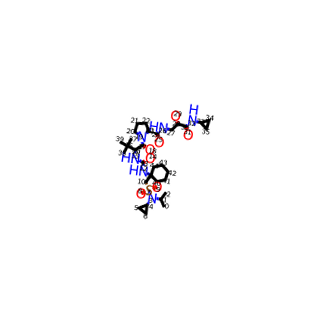 CC(C)N(C1CC1)S(=O)(=O)CC1(NC(=O)N[C@H](C(=O)N2CCC[C@H]2C(=O)NCC(=O)C(=O)NC2CC2)C(C)(C)C)CCCCC1